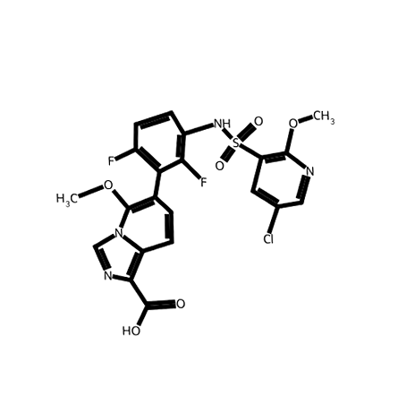 COc1ncc(Cl)cc1S(=O)(=O)Nc1ccc(F)c(-c2ccc3c(C(=O)O)ncn3c2OC)c1F